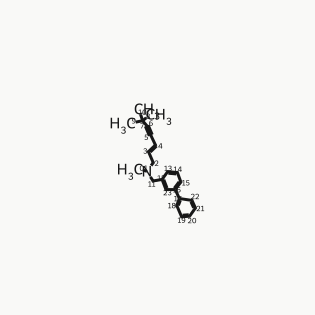 CN(CC=CC#CC(C)(C)C)Cc1cccc(-c2ccccc2)c1